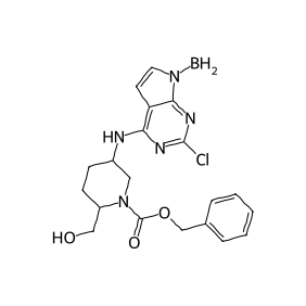 Bn1ccc2c(NC3CCC(CO)N(C(=O)OCc4ccccc4)C3)nc(Cl)nc21